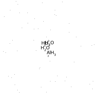 O.O.[AlH3].[LiH]